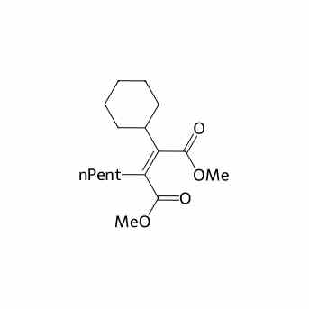 CCCCC/C(C(=O)OC)=C(/C(=O)OC)C1CCCCC1